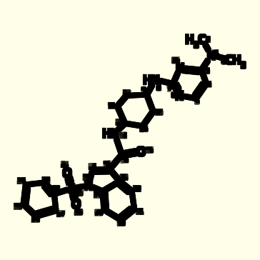 CN(C)c1ccnc(NC2CCC(NC(=O)c3cn(S(=O)(=O)c4ccccc4)c4ccccc34)CC2)n1